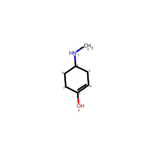 CNC1CC=C(O)CC1